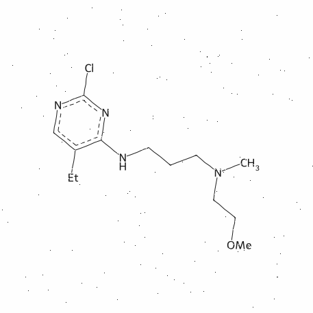 CCc1cnc(Cl)nc1NCCCN(C)CCOC